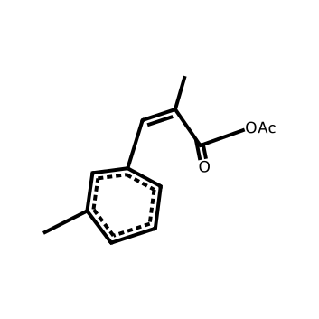 CC(=O)OC(=O)C(C)=Cc1cccc(C)c1